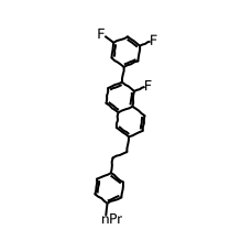 CCCc1ccc(CCc2ccc3c(F)c(-c4cc(F)cc(F)c4)ccc3c2)cc1